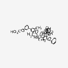 Cc1cc(-c2cccc(OCC(=O)O)c2)cc(C)c1OCCN[C@@H](C)[C@H](O)c1ccc(OCc2ccccc2)c(NS(C)(=O)=O)c1